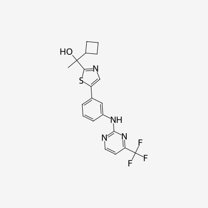 CC(O)(c1ncc(-c2cccc(Nc3nccc(C(F)(F)F)n3)c2)s1)C1CCC1